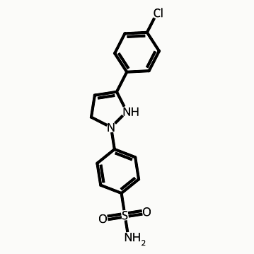 NS(=O)(=O)c1ccc(N2CC=C(c3ccc(Cl)cc3)N2)cc1